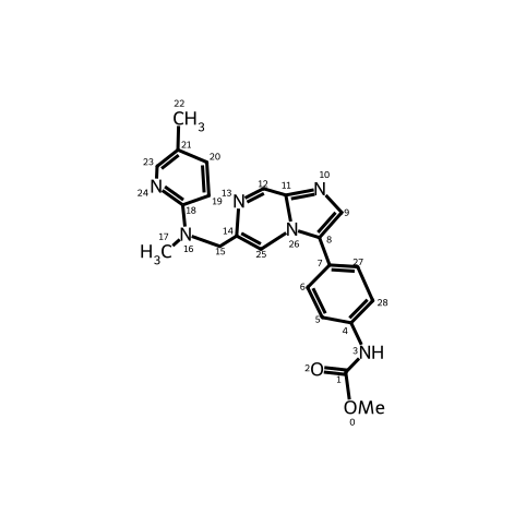 COC(=O)Nc1ccc(-c2cnc3cnc(CN(C)c4ccc(C)cn4)cn23)cc1